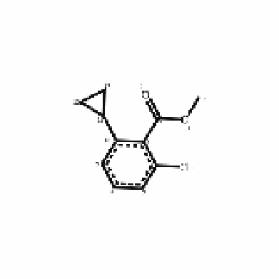 COC(=O)c1c(Cl)cccc1C1CC1